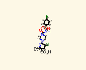 CCc1nc(N2CCN(C(=O)NS(=O)(=O)c3ccc(F)cc3)CC2)c(Cl)cc1C(=O)O